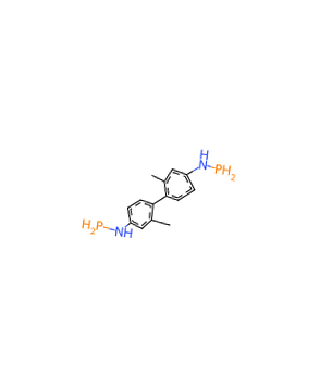 Cc1cc(NP)ccc1-c1ccc(NP)cc1C